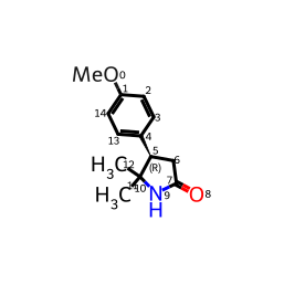 COc1ccc([C@H]2CC(=O)NC2(C)C)cc1